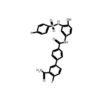 NC(=O)c1cc(-c2ccc(C(=O)Nc3ccc(O)c(NS(=O)(=O)c4ccc(F)cc4)c3)cc2)ccc1F